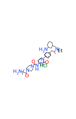 CCN(CC1CCCC(N)C1)C(C)Cc1ccc(-n2ccc(NC(=O)N3CCN(C(=O)C(C)(C)N)CC3)nc2=O)cc1.Cl